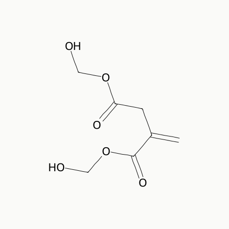 C=C(CC(=O)OCO)C(=O)OCO